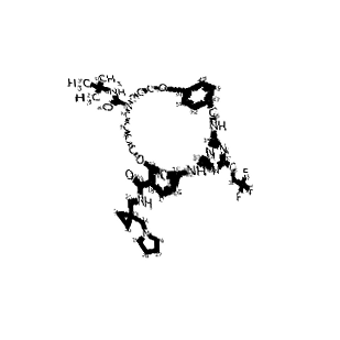 CC(C)(C)NC(=O)N1CCCCOc2cc(ccc2C(=O)NCC2(CN3CCCC3)CC2)Nc2nc(nc(OCC(F)(F)F)n2)NCc2ccc(cc2)OCCC1